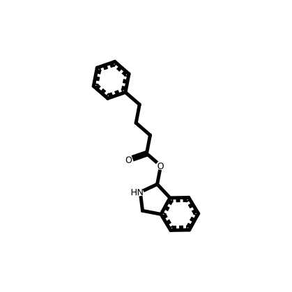 O=C(CCCc1ccccc1)OC1NCc2ccccc21